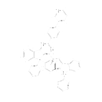 c1ccc(-n2c3ccccc3c3cc(-c4nc(-c5ccc(-c6cccnc6)cc5)nc5c4C(c4ccccc4)(c4ccccc4)c4ccccc4-5)ccc32)cc1